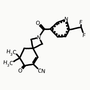 CC1(C)CC2(C=C(C#N)C1=O)CN(C(=O)c1ccc(C(F)F)nc1)C2